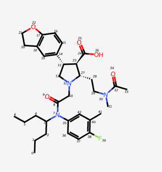 CCCC(CCC)N(C(=O)CN1C[C@H](c2ccc3c(c2)CCO3)[C@@H](C(=O)O)[C@@H]1CCN(C)C(C)=O)c1ccc(F)c(C)c1